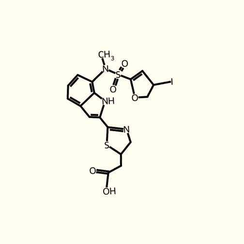 CN(c1cccc2cc(C3=NCC(CC(=O)O)S3)[nH]c12)S(=O)(=O)C1=CC(I)CO1